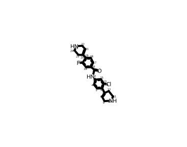 O=C(Nc1ccc(C2=CCNCC2)c(Cl)c1)c1ccc(C2=CCNCC2)c(F)c1